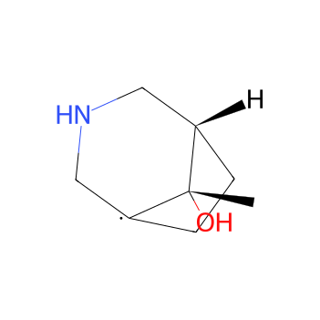 C[C@@]1(O)[C]2CC[C@H]1CNC2